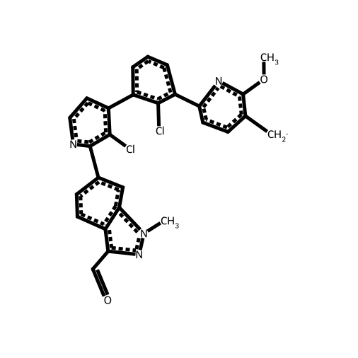 [CH2]c1ccc(-c2cccc(-c3ccnc(-c4ccc5c(C=O)nn(C)c5c4)c3Cl)c2Cl)nc1OC